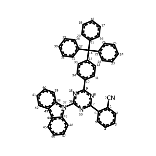 N#Cc1ccccc1-c1nc(-c2ccc(C(c3ccccc3)(c3ccccc3)c3ccccc3)cc2)nc(-n2c3ccccc3c3ccccc32)n1